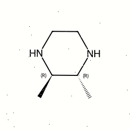 C[C@H]1NCCN[C@@H]1C